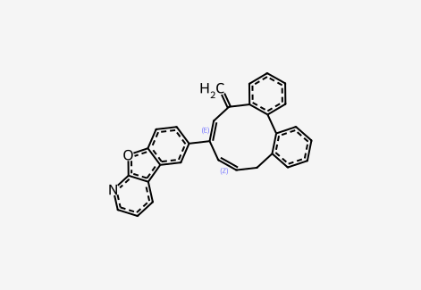 C=C1/C=C(c2ccc3oc4ncccc4c3c2)\C=C/Cc2ccccc2-c2ccccc21